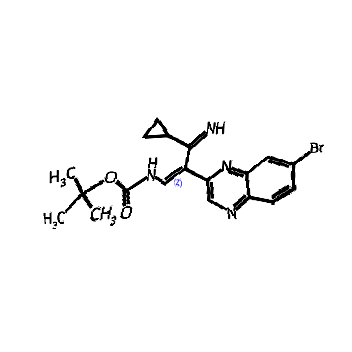 CC(C)(C)OC(=O)N/C=C(\C(=N)C1CC1)c1cnc2ccc(Br)cc2n1